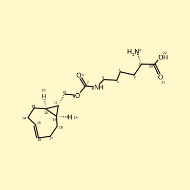 N[C@@H](CCCCNC(=O)OC[C@H]1[C@@H]2CC/C=C/CC[C@@H]21)C(=O)O